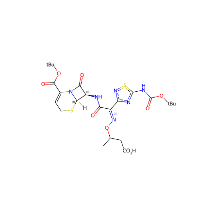 CC(CC(=O)O)O/N=C(\C(=O)N[C@@H]1C(=O)N2C(C(=O)OC(C)(C)C)=CCS[C@H]12)c1nsc(NC(=O)OC(C)(C)C)n1